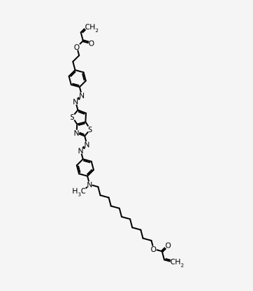 C=CC(=O)OCCCCCCCCCCCN(C)c1ccc(/N=N/c2nc3sc(/N=N/c4ccc(CCOC(=O)C=C)cc4)cc3s2)cc1